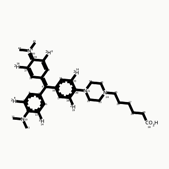 [2H]C1=CC(=C(c2cc([2H])c(N(C)C)c([2H])c2)c2cc([2H])c(N3CCN(CCCCCC(=O)O)CC3)c([2H])c2)C=C([2H])C1=[N+](C)C